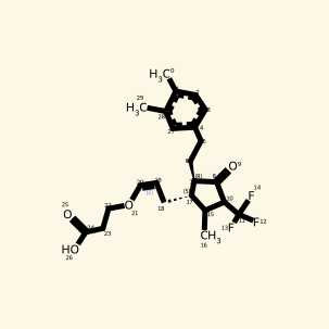 Cc1ccc(CC[C@H]2C(=O)C(C(F)(F)F)C(C)[C@@H]2C/C=C\OCCC(=O)O)cc1C